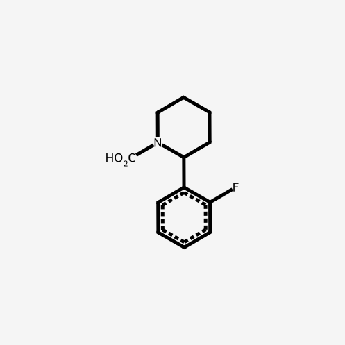 O=C(O)N1CCCCC1c1ccccc1F